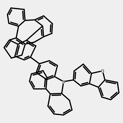 C1=CCC(N(c2ccc(-c3ccc4c(c3)-c3c5cccc3-c3ccccc3C3=C(CCC=C34)C5)cc2)c2ccc3oc4ccccc4c3c2)=C(c2ccccc2)C=C1